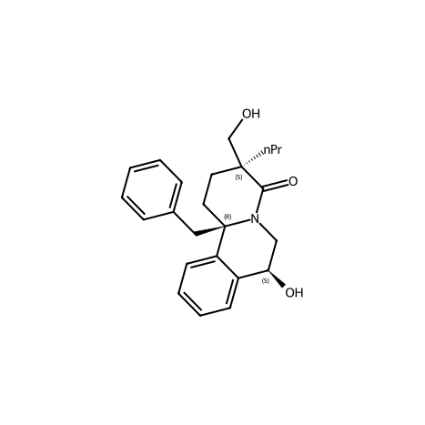 CCC[C@@]1(CO)CC[C@@]2(Cc3ccccc3)c3ccccc3[C@H](O)CN2C1=O